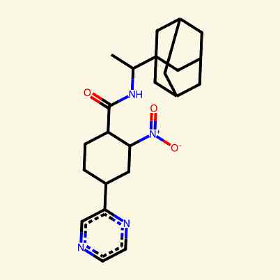 CC(NC(=O)C1CCC(c2cnccn2)CC1[N+](=O)[O-])C12CC3CC(CC(C3)C1)C2